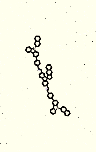 C(=C\c1ccc2c(c1)C1(CCc3cc4ccccc4cc31)c1cc(/C=C/c3ccc(-c4ccc5c(c4)c4ccccc4n5-c4ccc5ccccc5c4)cc3)ccc1-2)/c1ccc(-c2ccc3c(c2)c2ccccc2n3-c2ccc3ccccc3c2)cc1